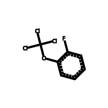 Fc1ccccc1OC(Cl)(Cl)Cl